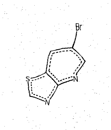 Brc1cnc2ncsc2c1